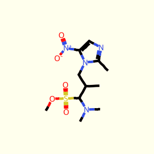 COS(=O)(=O)C(C(C)Cn1c([N+](=O)[O-])cnc1C)N(C)C